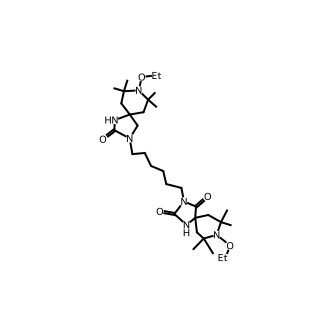 CCON1C(C)(C)CC2(CN(CCCCCCN3C(=O)NC4(CC(C)(C)N(OCC)C(C)(C)C4)C3=O)C(=O)N2)CC1(C)C